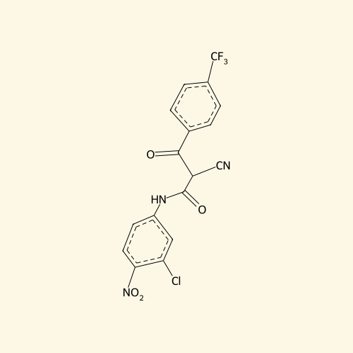 N#CC(C(=O)Nc1ccc([N+](=O)[O-])c(Cl)c1)C(=O)c1ccc(C(F)(F)F)cc1